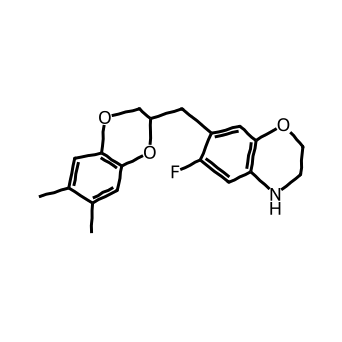 Cc1cc2c(cc1C)OC(Cc1cc3c(cc1F)NCCO3)CO2